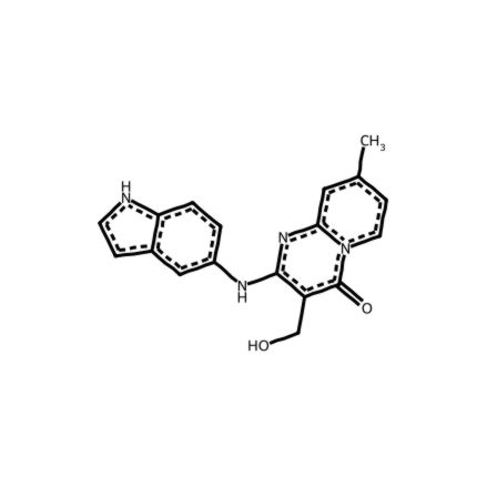 Cc1ccn2c(=O)c(CO)c(Nc3ccc4[nH]ccc4c3)nc2c1